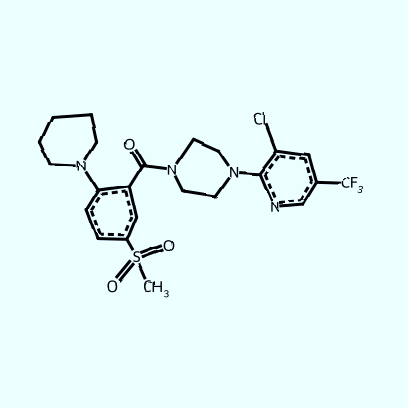 CS(=O)(=O)c1ccc(N2CCCCC2)c(C(=O)N2CCN(c3ncc(C(F)(F)F)cc3Cl)CC2)c1